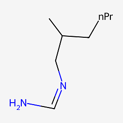 CCCCC(C)C/N=C\N